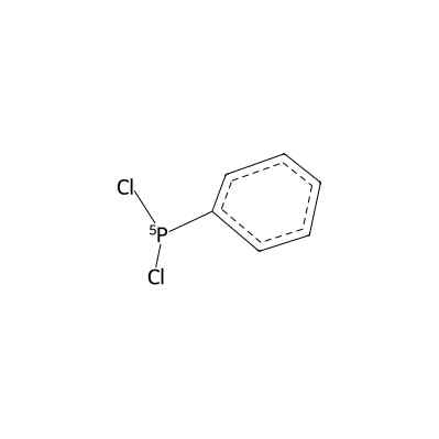 Cl[5P](Cl)c1ccccc1